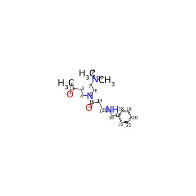 CC(=O)CCN(CCN(C)C)C(=O)CCNCc1ccccc1